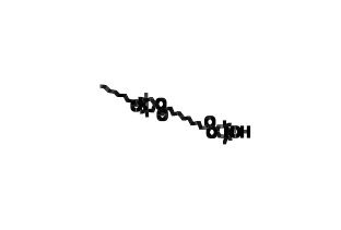 CCCCCCCCON1C(C)(C)CC(OC(=O)CCCCCCCCC(=O)OC2CC(C)(C)N(O)C(C)(C)C2)CC1(C)C